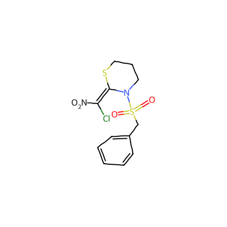 O=[N+]([O-])/C(Cl)=C1\SCCCN1S(=O)(=O)Cc1ccccc1